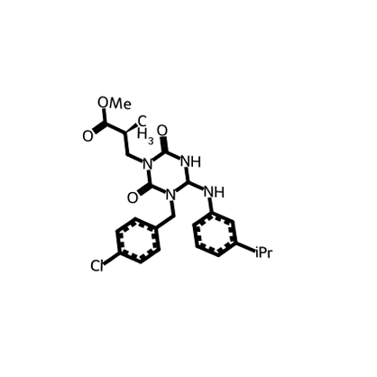 COC(=O)[C@@H](C)CN1C(=O)NC(Nc2cccc(C(C)C)c2)N(Cc2ccc(Cl)cc2)C1=O